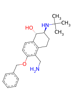 CC(C)(C)N[C@H]1CCc2c(ccc(OCc3ccccc3)c2CN)[C@@H]1O